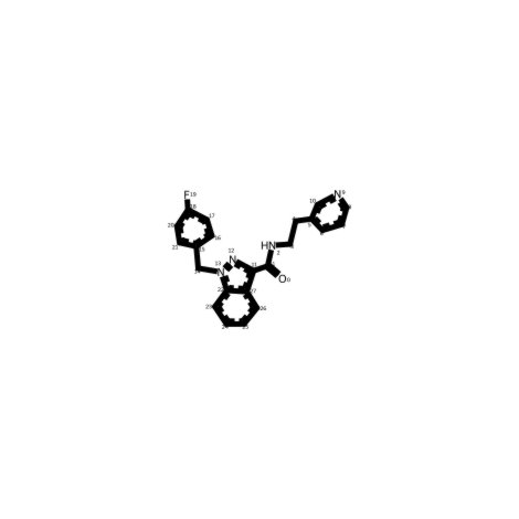 O=C(NCCc1cccnc1)c1nn(Cc2ccc(F)cc2)c2ccccc12